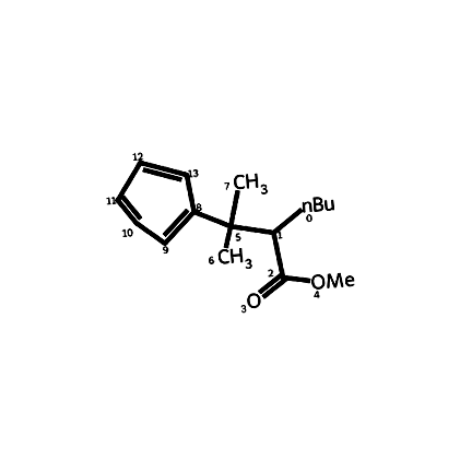 CCCCC(C(=O)OC)C(C)(C)c1ccccc1